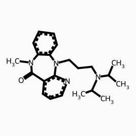 CC(C)N(CCCN1c2ccccc2N(C)C(=O)c2cccnc21)C(C)C